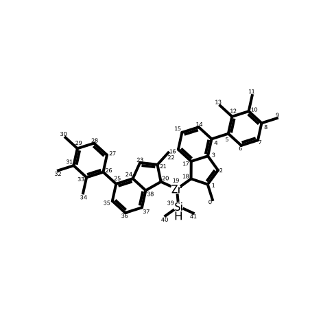 CC1=Cc2c(-c3ccc(C)c(C)c3C)cccc2[CH]1[Zr]([CH]1C(C)=Cc2c(-c3ccc(C)c(C)c3C)cccc21)[SiH](C)C